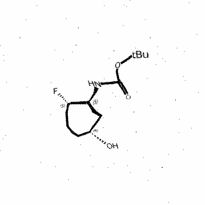 CC(C)(C)OC(=O)N[C@H]1C[C@H](O)CC[C@@H]1F